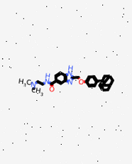 CN(C)CCNC(=O)c1ccc2[nH]c(COc3ccc(C45CC6CC(CC(C6)C4)C5)cc3)nc2c1